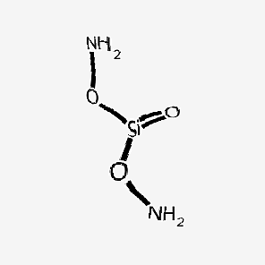 NO[Si](=O)ON